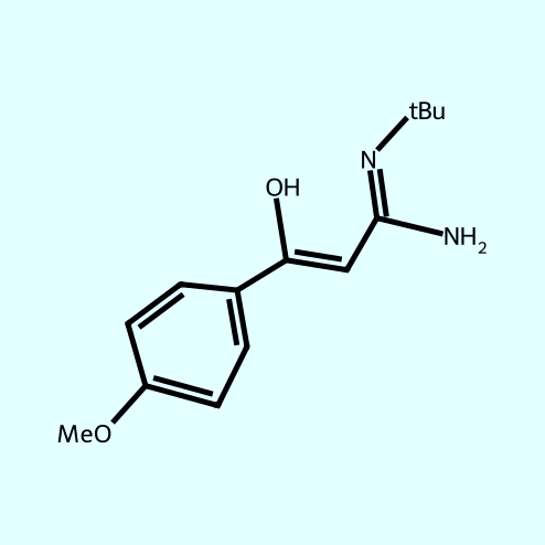 COc1ccc(C(O)=CC(N)=NC(C)(C)C)cc1